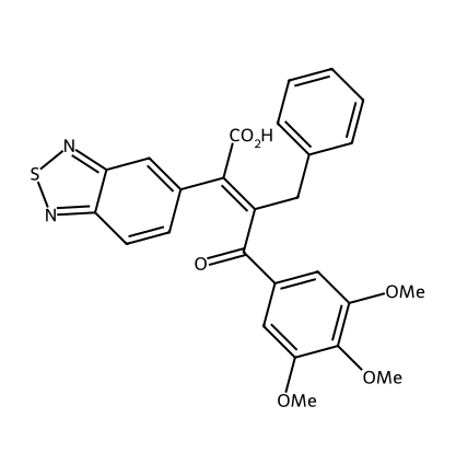 COc1cc(C(=O)/C(Cc2ccccc2)=C(/C(=O)O)c2ccc3nsnc3c2)cc(OC)c1OC